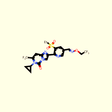 CCS(=O)(=O)c1cc(/C=N/OCC(F)(F)F)cnc1-c1cn2c(=O)n(C3CC3)c(C(F)(F)F)cc2n1